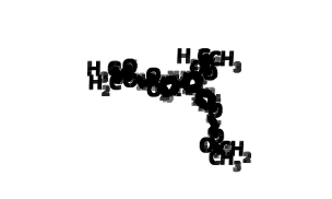 C=C(C)C(=O)OCCCOc1ccc(-c2cc(OC(=O)C(=C)C)cc(-c3ccc(OC(=O)CCOC(=O)C(=C)C)cc3)c2)cc1